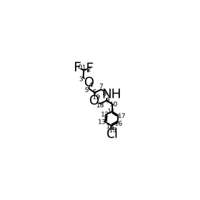 FC(F)COCC1CNC(Cc2ccc(Cl)cc2)CO1